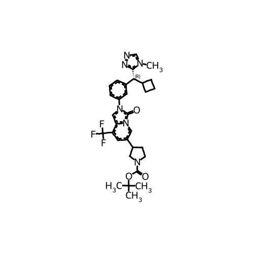 Cn1cnnc1[C@@H](c1cccc(-n2cc3c(C(F)(F)F)cc(C4CCN(C(=O)OC(C)(C)C)C4)cn3c2=O)c1)C1CCC1